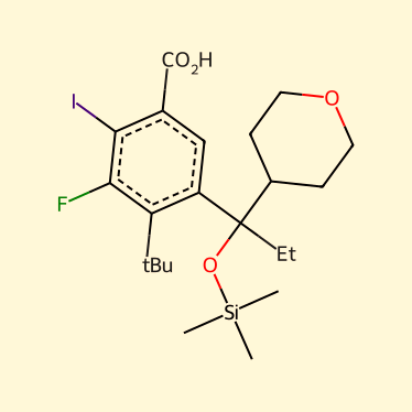 CCC(O[Si](C)(C)C)(c1cc(C(=O)O)c(I)c(F)c1C(C)(C)C)C1CCOCC1